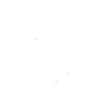 BC(F)(F)COCC(O)CC